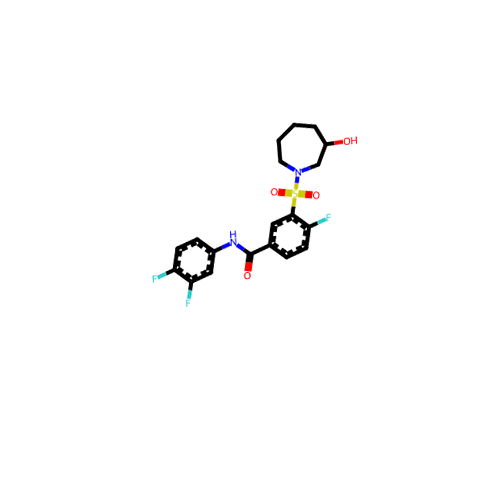 O=C(Nc1ccc(F)c(F)c1)c1ccc(F)c(S(=O)(=O)N2CCCCC(O)C2)c1